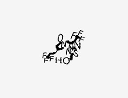 O=C1C[C@H](CCC(F)(F)F)CN1Cc1c(C(F)(F)F)nc2sc(CO)nn12